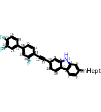 CCCCCCCc1ccc2c(c1)[nH]c1cc(C#Cc3ccc(-c4ccc(F)c(F)c4)cc3F)ccc12